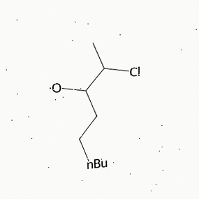 CCCCCCC([O])C(C)Cl